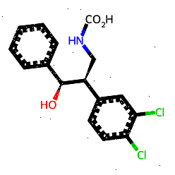 O=C(O)NC[C@@H](c1ccc(Cl)c(Cl)c1)[C@@H](O)c1ccccc1